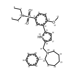 CCN(CC)S(=O)(=O)c1ccc(OC)c(-c2ccc(CN3CCCCC[C@@H]3c3ccccc3)[nH]2)c1